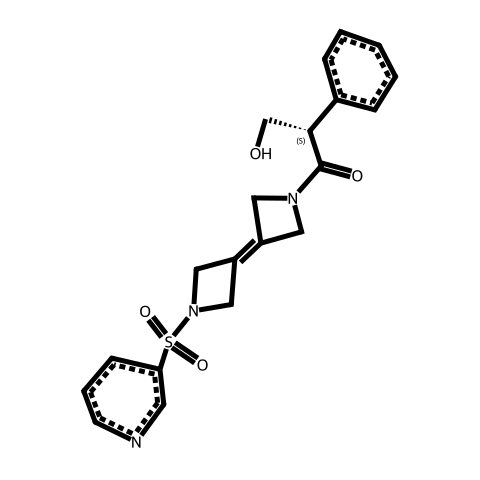 O=C([C@H](CO)c1ccccc1)N1CC(=C2CN(S(=O)(=O)c3cccnc3)C2)C1